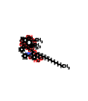 CCCCCCCCCCCCCCCC(CC(=O)O)CC(=O)O[C@@H](C(=O)OC1C[C@@]2(O)[C@@H](OC(=O)c3ccccc3)C3[C@](C)(C(=O)[C@H](OC(C)=O)C(=C1C)C2(C)C)[C@@H](O)C[C@H]1OC[C@@]31OC(C)=O)C(NC(=O)c1ccccc1)c1ccccc1